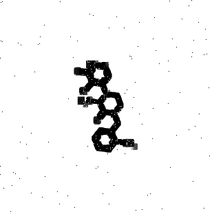 Cc1ccccc1CN1CCN(c2cn[nH]c(=O)c2Cl)[C@H](C)C1=O